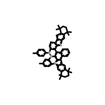 Cc1ccc(N2B3c4cc(C)ccc4-n4c5cc6c(cc5c5c7ccccc7c(c3c54)-c3c2ccc2c3sc3cc4c(cc32)C(C)(C)CCC4(C)C)C(C)(C)CCC6(C)C)cc1